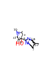 Cc1cnc(C2(O)CCN(C)CC2)nc1